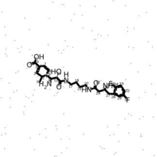 CC1C=C(C(=O)O)C=CI1[C@@H](N)[C@H](O)C(=O)NCCCCNC(=O)CC(N)Cc1cc(F)ccc1F